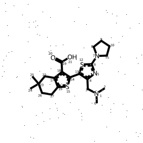 CN(C)Cc1nc(N2CCCC2)sc1-c1sc2c(c1C(=O)O)CC(C)(C)CC2